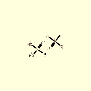 CP(=O)(Cl)Cl.O=P(O)(O)O